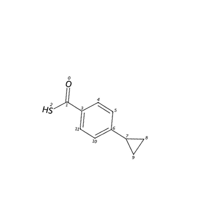 O=C(S)c1ccc(C2CC2)cc1